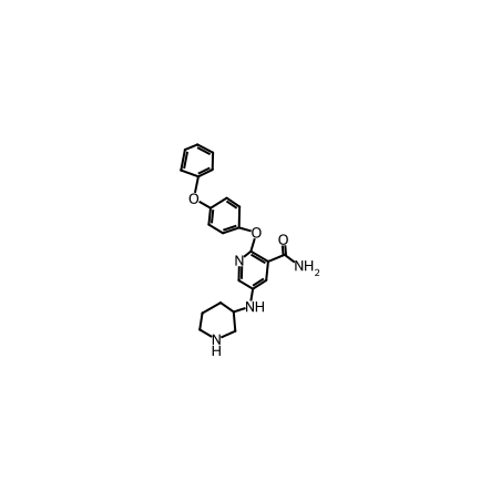 NC(=O)c1cc(NC2CCCNC2)cnc1Oc1ccc(Oc2ccccc2)cc1